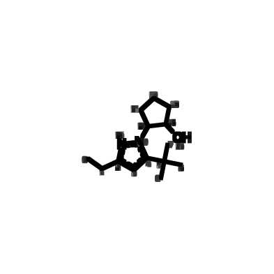 CCc1cc(C(C)(C)C)n(C2CCCC2O)n1